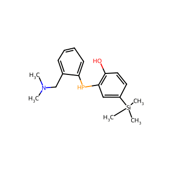 CN(C)Cc1ccccc1Pc1cc([Si](C)(C)C)ccc1O